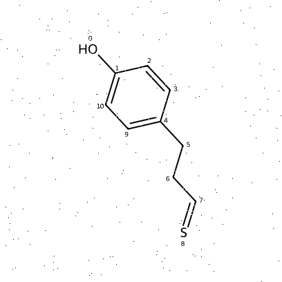 Oc1ccc(CCC=S)cc1